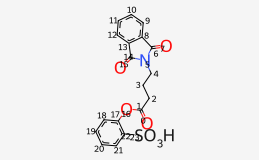 O=C(CCCN1C(=O)c2ccccc2C1=O)Oc1ccccc1S(=O)(=O)O